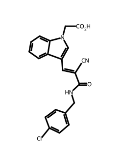 N#C/C(=C\c1cn(CC(=O)O)c2ccccc12)C(=O)NCc1ccc(Cl)cc1